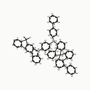 CC1(C)c2ccccc2-c2cc3c4ccccc4n(-c4ccc(N(c5ccc(-c6ccccc6)cc5)c5cccc6c5-c5ccccc5C65c6ccccc6-c6c(-c7ccccc7)cccc65)cc4)c3cc21